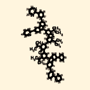 CC(C)c1cc(-c2cc(C(C)C)c3sc4c(C(C)C)cc(-n5c6ccc(-c7cccc(-c8ncccn8)c7)cc6c6cc(-c7ccccn7)ccc65)cc4c3c2)cc2c1oc1c(C(C)C)cc(-n3c4ccc(-c5cccc(-c6ncccn6)c5)cc4c4cc(-c5ccccn5)ccc43)cc12